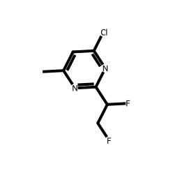 Cc1cc(Cl)nc(C(F)CF)n1